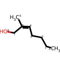 CCCCC=C(C)CO